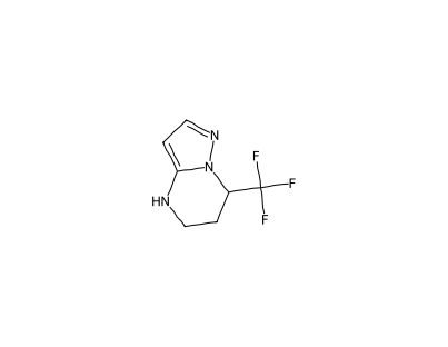 FC(F)(F)C1CCNc2ccnn21